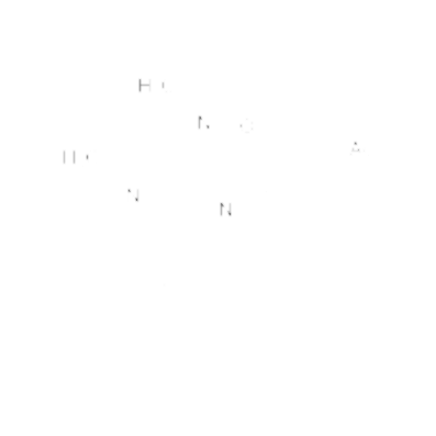 CC(=O)CC1=NC(N(C)Cc2ccccc2)N(C)O1